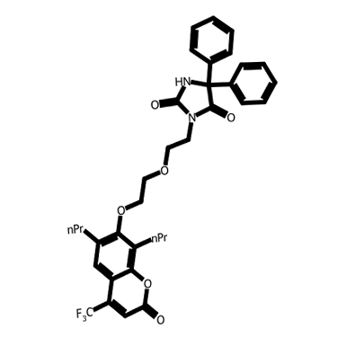 CCCc1cc2c(C(F)(F)F)cc(=O)oc2c(CCC)c1OCCOCCN1C(=O)NC(c2ccccc2)(c2ccccc2)C1=O